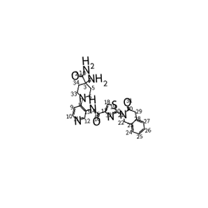 NC(=O)C1(N)CCN(c2ccncc2NC(=O)c2csc(N3Cc4ccccc4CC3=O)n2)CC1